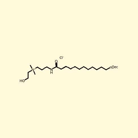 CCCCCCCCCCCCCCCCCCCCCC(=O)NCCC[N+](C)(C)CCO.[Cl-]